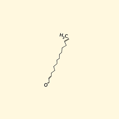 CC=CCCCCCCCCCCC=CC=O